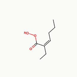 CCCC=C(CC)C(=O)OO